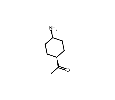 CC(=O)[C@H]1CC[C@@H](N)CC1